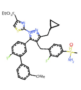 CCOC(=O)c1csc(-n2nc(CC3CC3)c(Cc3ccc([SH](C)(N)=O)cc3F)c2-c2ccc(F)c(-c3cccc(OC)c3)c2)n1